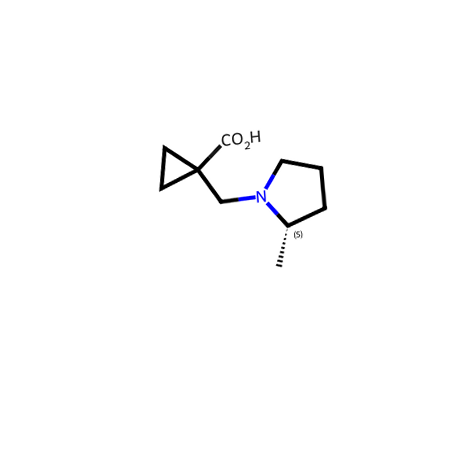 C[C@H]1CCCN1CC1(C(=O)O)CC1